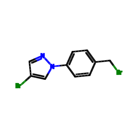 BrCc1ccc(-n2cc(Br)cn2)cc1